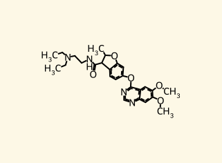 CCN(CC)CCNC(=O)C1c2ccc(Oc3ncnc4cc(OC)c(OC)cc34)cc2OC1C